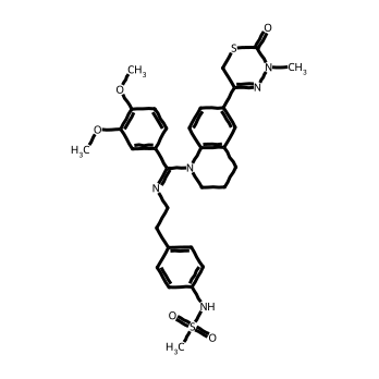 COc1ccc(/C(=N/CCc2ccc(NS(C)(=O)=O)cc2)N2CCCc3cc(C4=NN(C)C(=O)SC4)ccc32)cc1OC